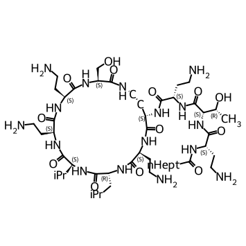 CCCCCCCC(=O)N[C@@H](CCN)C(=O)N[C@H](C(=O)N[C@@H](CCN)C(=O)N[C@H]1CCNC(=O)[C@H](CO)NC(=O)[C@H](CCN)NC(=O)[C@H](CCN)NC(=O)[C@H](C(C)C)NC(=O)[C@@H](CC(C)C)NC(=O)[C@H](CCN)NC1=O)[C@@H](C)O